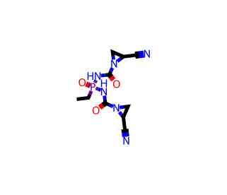 CCP(=O)(NC(=O)N1CC1C#N)NC(=O)N1CC1C#N